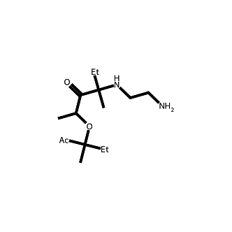 CCC(C)(NCCN)C(=O)C(C)OC(C)(CC)C(C)=O